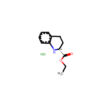 CCOC(=O)[C@H]1CCc2ccccc2N1.Cl